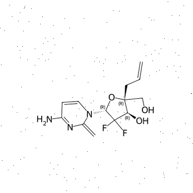 C=CC[C@]1(CO)O[C@@H](N2C=CC(N)=NC2=C)C(F)(F)[C@@H]1O